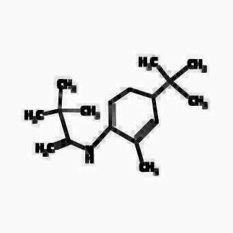 C=C(NC1=CCC(C(C)(C)C)C=C1C)C(C)(C)C